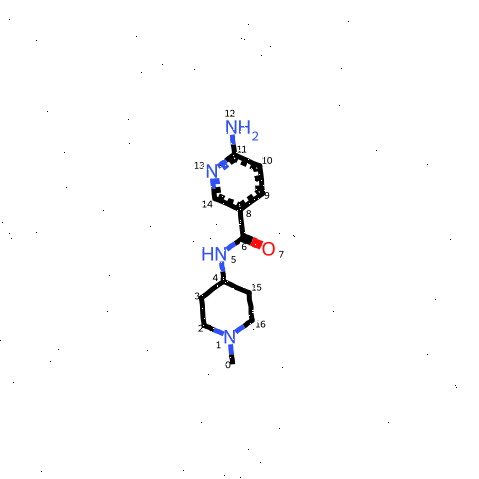 CN1CCC(NC(=O)c2ccc(N)nc2)CC1